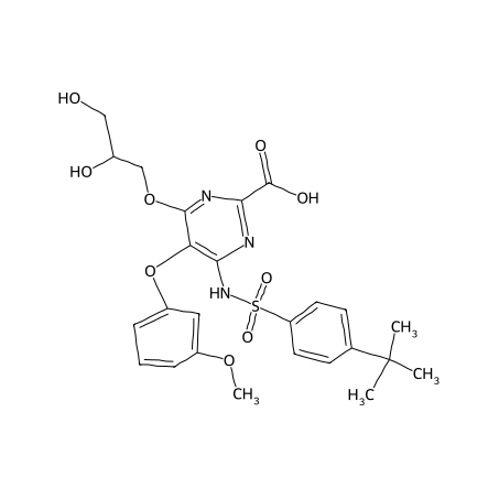 COc1cccc(Oc2c(NS(=O)(=O)c3ccc(C(C)(C)C)cc3)nc(C(=O)O)nc2OCC(O)CO)c1